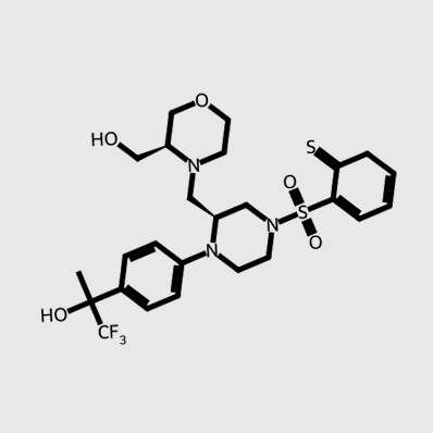 CC(O)(c1ccc(N2CCN(S(=O)(=O)C3=CC=CCC3=S)C[C@@H]2CN2CCOC[C@@H]2CO)cc1)C(F)(F)F